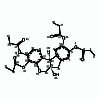 CCC(=O)Oc1cc2c(cc1OC(=O)CC)[C@@H]1c3ccc(OC(=O)CC)c(OC(=O)CC)c3OC[C@]1(O)C2